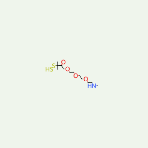 CNCCOCCOCCOCC(=O)C(C)(C)SS